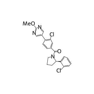 COc1ncc(-c2ccc(C(=O)N3CCC[C@@H]3c3ccccc3Cl)cc2Cl)cn1